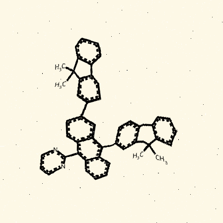 CC1(C)c2ccccc2-c2ccc(-c3ccc4c(-c5ncccn5)c5ccccc5c(-c5ccc6c(c5)C(C)(C)c5ccccc5-6)c4c3)cc21